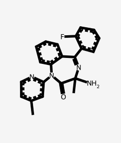 Cc1ccnc(N2C(=O)C(C)(N)N=C(c3ccccc3F)c3ccccc32)c1